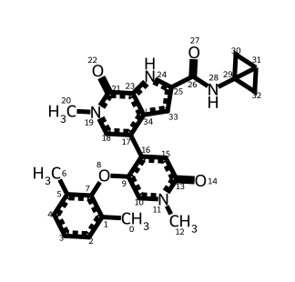 Cc1cccc(C)c1Oc1cn(C)c(=O)cc1-c1cn(C)c(=O)c2[nH]c(C(=O)NC34CC3C4)cc12